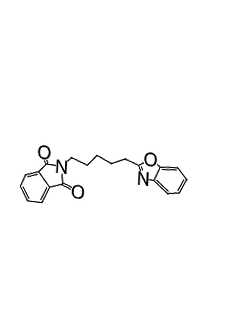 O=C1c2ccccc2C(=O)N1CCCCCc1nc2ccccc2o1